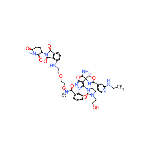 CCN(OCCOCCNc1cccc2c1C(=O)N(C1CCC(=O)NC1=O)C2=O)C(=O)c1ccccc1-n1ncc(C2(C(N)=O)COC(c3ccnc(NCC(F)(F)F)c3)=N2)c1N1CCN(CCO)C1=O